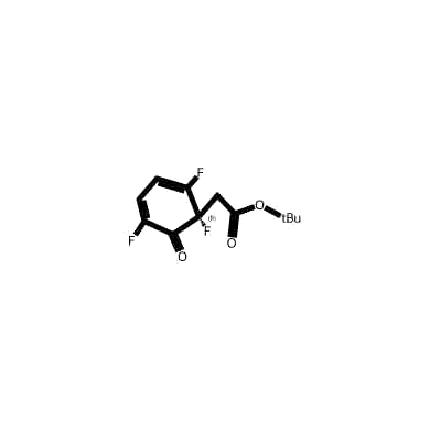 CC(C)(C)OC(=O)C[C@@]1(F)C(=O)C(F)=CC=C1F